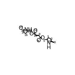 C=C1CCC(COC(=O)/C=C/C(=O)OCC2CCC(=O)N2)N1